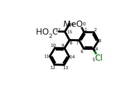 COc1ccc(Cl)cc1C(c1ccccc1)C(C)C(=O)O